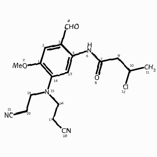 COc1cc(C=O)c(NC(=O)CC(C)Cl)cc1N(CCC#N)CCC#N